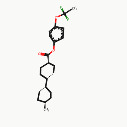 C[C@H]1CC[C@H]([C@H]2CC[C@H](C(=O)Oc3ccc(OC(F)(F)C(F)(F)F)cc3)CC2)CC1